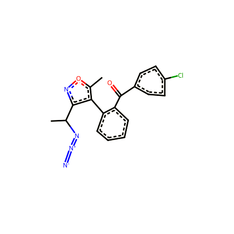 Cc1onc(C(C)N=[N+]=[N-])c1-c1ccccc1C(=O)c1ccc(Cl)cc1